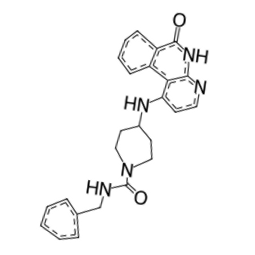 O=C(NCc1ccccc1)N1CCC(Nc2ccnc3[nH]c(=O)c4ccccc4c23)CC1